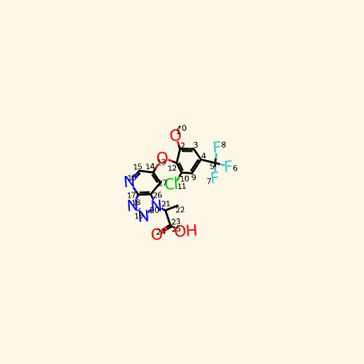 COc1cc(C(F)(F)F)cc(Cl)c1Oc1cnc2nnn(C(C)C(=O)O)c2c1